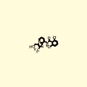 O=C(Nc1cccn2c(CO)c(C(F)(F)F)nc12)c1c(Cl)cccc1Cl